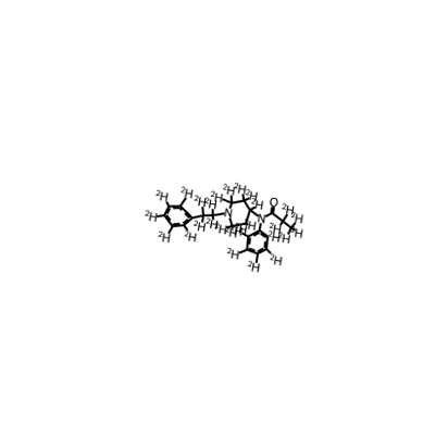 [2H]c1c([2H])c([2H])c(N(C(=O)C([2H])([2H])C([2H])([2H])[2H])C2([2H])C([2H])([2H])C([2H])([2H])N(C([2H])([2H])C([2H])([2H])c3c([2H])c([2H])c([2H])c([2H])c3[2H])C([2H])([2H])C2([2H])[2H])c([2H])c1[2H]